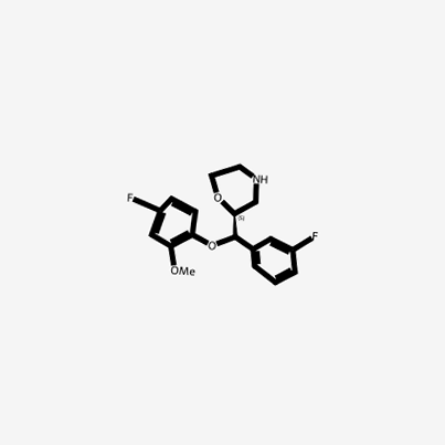 COc1cc(F)ccc1OC(c1cccc(F)c1)[C@@H]1CNCCO1